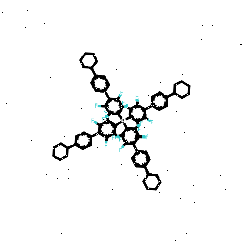 Fc1c(F)c([B-](c2c(F)c(F)c(-c3ccc(C4CCCCC4)cc3)c(F)c2F)(c2c(F)c(F)c(-c3ccc(C4CCCCC4)cc3)c(F)c2F)c2c(F)c(F)c(-c3ccc(C4CCCCC4)cc3)c(F)c2F)c(F)c(F)c1-c1ccc(C2CCCCC2)cc1